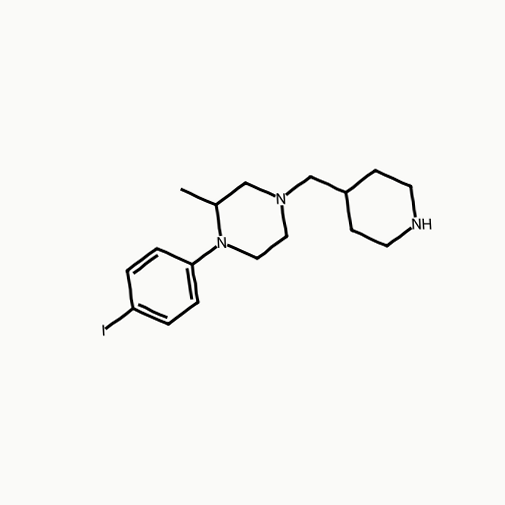 CC1CN(CC2CCNCC2)CCN1c1ccc(I)cc1